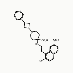 COc1ccc2ncc(Cl)c(CCNC3(C(=O)O)CCN(C4CC(c5ccccc5)C4)CC3)c2c1